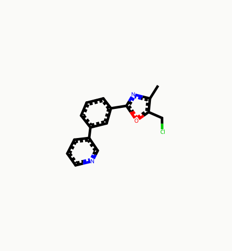 Cc1nc(-c2cccc(-c3cccnc3)c2)oc1CCl